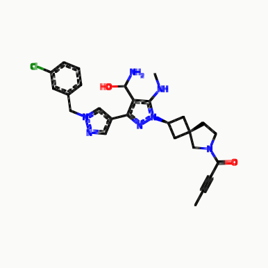 CC#CC(=O)N1CC[C@]2(C1)C[C@H](n1nc(-c3cnn(Cc4cccc(Cl)c4)c3)c(C(N)O)c1NC)C2